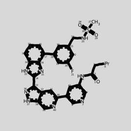 CC(C)CC(=O)Nc1cncc(-c2cc3c(-c4nc5c(-c6cc(F)cc(CNS(C)(=O)=O)c6)cccc5[nH]4)n[nH]c3cn2)c1